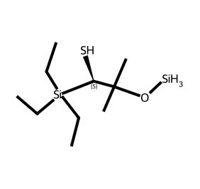 CC[Si](CC)(CC)[C@@H](S)C(C)(C)O[SiH3]